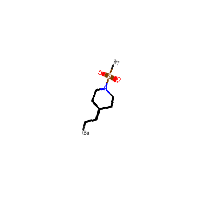 CC(C)S(=O)(=O)N1CCC(CCC(C)(C)C)CC1